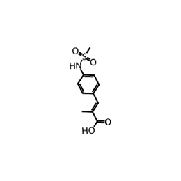 C/C(=C\c1ccc(NS(C)(=O)=O)cc1)C(=O)O